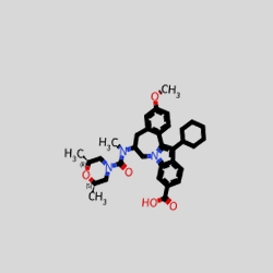 COc1ccc2c(c1)CC(N(C)C(=O)N1C[C@@H](C)O[C@@H](C)C1)Cn1c-2c(C2CCCCC2)c2ccc(C(=O)O)cc21